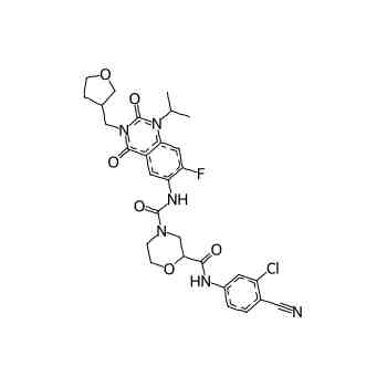 CC(C)n1c(=O)n(CC2CCOC2)c(=O)c2cc(NC(=O)N3CCOC(C(=O)Nc4ccc(C#N)c(Cl)c4)C3)c(F)cc21